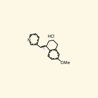 COc1ccc2c(c1)CCC/C2=C\c1cccnc1.Cl